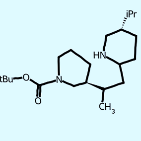 CC(C)[C@@H]1CCC(CC(C)[C@@H]2CCCN(C(=O)OC(C)(C)C)C2)NC1